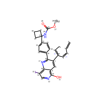 C=C/C=C\C(=C/C)c1cc2c(O)ncc(I)c2nc1-c1ccc(C2(NC(=O)OC(C)(C)C)CCC2)cc1